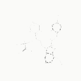 CC(C)Oc1cccc2c1nc(COc1ccc(Cl)cc1)n2CCCC1CCNCC1.O=C(O)C(F)(F)F